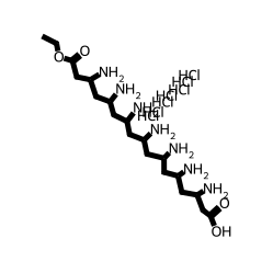 CCOC(=O)CC(N)CC(N)CC(N)CC(N)CC(N)CC(N)CC(N)CC(=O)O.Cl.Cl.Cl.Cl.Cl.Cl.Cl